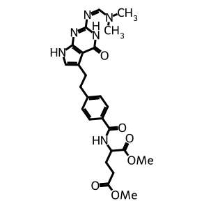 COC(=O)CCC(NC(=O)c1ccc(CCc2c[nH]c3nc(/N=C\N(C)C)[nH]c(=O)c23)cc1)C(=O)OC